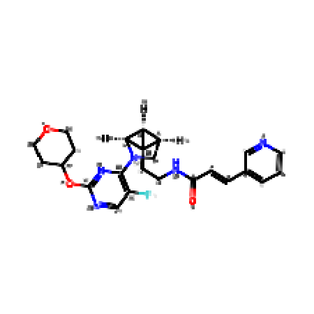 O=C(/C=C/c1cccnc1)NCC[C@@]12[C@@H]3[C@H]1CN(c1nc(OC4CCOCC4)ncc1F)[C@@H]32